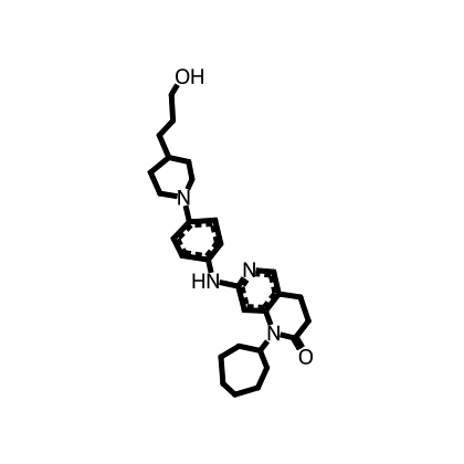 O=C1CCc2cnc(Nc3ccc(N4CCC(CCCO)CC4)cc3)cc2N1C1CCCCCC1